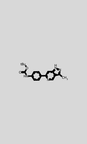 Cc1n[nH]c2cc(-c3ccc(NC(=O)OC(C)(C)C)cc3)ncc12